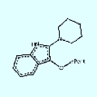 CCCCCOc1c(N2CCCCC2)[nH]c2ccccc12